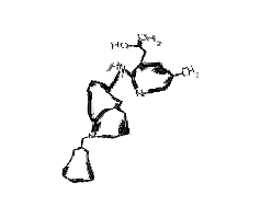 C=C(O)c1cc(C)cnc1Nc1ccc2c(ccn2Cc2ccccc2)c1